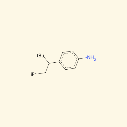 CC(C)CC(c1ccc(N)cc1)C(C)(C)C